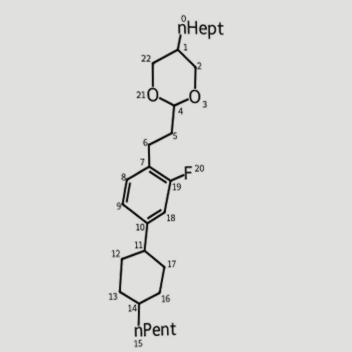 CCCCCCCC1COC(CCc2ccc(C3CCC(CCCCC)CC3)cc2F)OC1